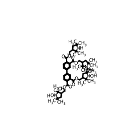 CC1(C)CC(COC(=O)c2ccc(-c3ccc(C(=O)OCC4CC(C)(C)N(O)C4(C)C)c(C(=O)OCC4CC(C)(C)N(O)C4(C)C)c3)cc2C(=O)OCC2CC(C)(C)N(O)C2(C)C)C(C)(C)N1